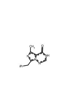 Cc1nc(CC(C)C)n2nc[nH]c(=O)c12